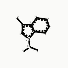 Cc1cn(N(C)C)c2ccccc12